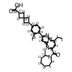 CCc1cc(C(=O)N2CCCCC[C@H]2C)nc2cc(-c3ccc(C4CC5(CC(C(=O)O)C5)C4)cc3F)nn12